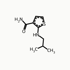 CC(C)CNc1sccc1C(N)=O